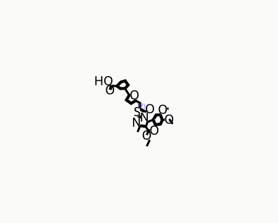 CCOC(=O)C1=C(C)N=c2s/c(=C\c3ccc(-c4cccc(C(=O)O)c4)o3)c(=O)n2C1c1ccc(OC)c(OC)c1